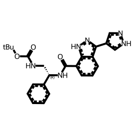 CC(C)(C)OC(=O)NC[C@H](NC(=O)c1cccc2c(-c3cn[nH]c3)n[nH]c12)c1ccccc1